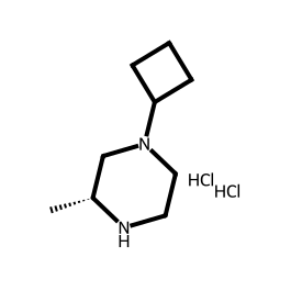 C[C@@H]1CN(C2CCC2)CCN1.Cl.Cl